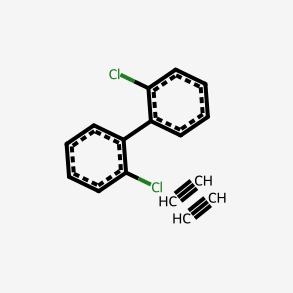 C#C.C#C.Clc1ccccc1-c1ccccc1Cl